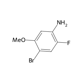 COc1cc(N)c(F)cc1Br